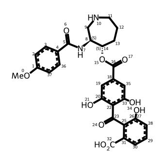 COc1ccc(C(=O)N[C@H]2CNCCC[C@@H]2OC(=O)c2cc(O)c(C(=O)c3c(O)cccc3C(=O)O)c(O)c2)cc1